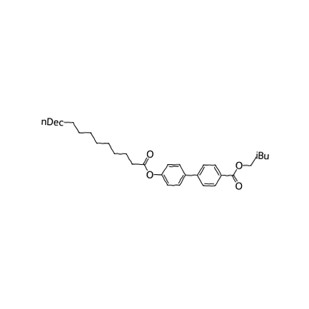 CCCCCCCCCCCCCCCCCCC(=O)Oc1ccc(-c2ccc(C(=O)OCC(C)CC)cc2)cc1